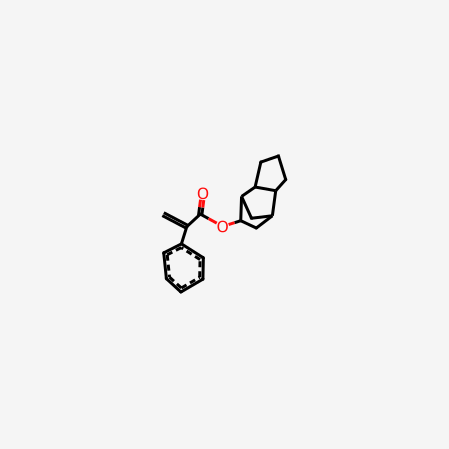 C=C(C(=O)OC1CC2CC1C1CCCC21)c1ccccc1